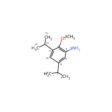 COc1c(N)cc(C(C)C)cc1C(C)C